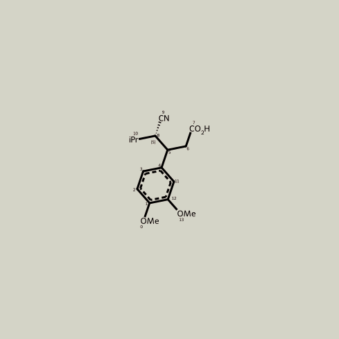 COc1ccc(C(CC(=O)O)[C@@H](C#N)C(C)C)cc1OC